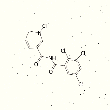 O=C(NC(=O)c1cc(Cl)cc(Cl)c1Cl)C1=CN(Cl)CC=C1